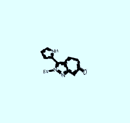 CCn1nc2cc(Cl)ccc2c1-c1ccc[nH]1